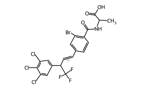 CC(NC(=O)c1ccc(/C=C/C(c2cc(Cl)c(Cl)c(Cl)c2)C(F)(F)F)cc1Br)C(=O)O